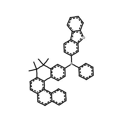 CC1(C)c2cc(N(c3ccccc3)c3ccc4c(c3)oc3ccccc34)ccc2-c2c(ccc3ccc4ccccc4c23)C1(C)C